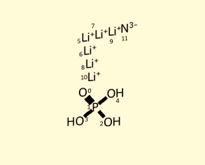 O=P(O)(O)O.[Li+].[Li+].[Li+].[Li+].[Li+].[Li+].[N-3]